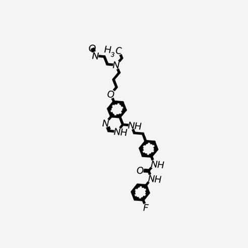 CCN(CCCOc1ccc2c(c1)N=CNC2NCCc1ccc(NC(=O)Nc2cccc(F)c2)cc1)CCN=O